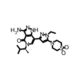 CCn1nc(-c2cn([C@@H](C)C(C)C)c(=O)c3c(N)n[nH]c23)cc1N1CCS(=O)(=O)CC1